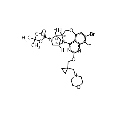 CC(C)(C)OC(=O)N1C[C@@H]2C[C@H]1[C@@H]1COc3cc(Br)c(F)c4nc(OCC5(CN6CCOCC6)CC5)nc(c34)N21